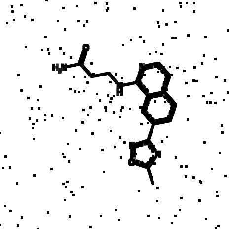 Cc1nc(-c2ccc3ccnc(NCCC(N)=O)c3c2)no1